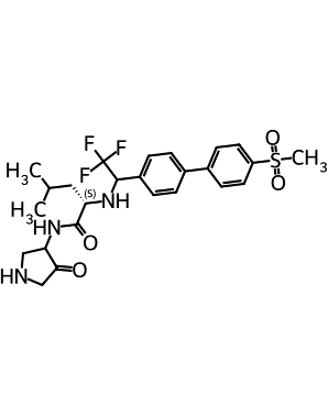 CC(C)C[C@H](NC(c1ccc(-c2ccc(S(C)(=O)=O)cc2)cc1)C(F)(F)F)C(=O)NC1CNCC1=O